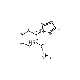 CO[SiH]1CCCCC1n1cccc1